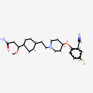 COC(CC(N)=O)C1CCC(CCN2CCC(Oc3ccc(F)cc3C#N)CC2)CC1